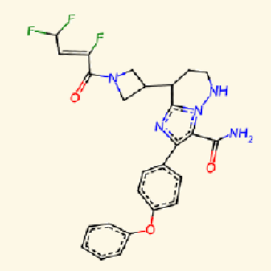 NC(=O)c1c(-c2ccc(Oc3ccccc3)cc2)nc2n1NCCC2C1CN(C(=O)C(F)=CC(F)F)C1